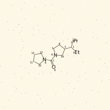 CCC(C(C)C)C1CCN(C(=O)N2CCCC2)C1